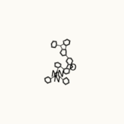 c1ccc(-c2nc(-c3ccccc3)nc(-c3ccccc3-c3cccc4oc5ccc(-c6ccc7c(c6)-c6ccccc6C7c6ccccc6)cc5c34)n2)cc1